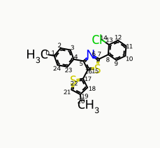 Cc1ccc(-c2nc(-c3ccccc3Cl)sc2-c2cc(C)cs2)cc1